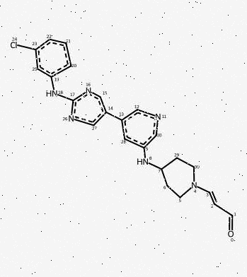 O=CC=CN1CCC(Nc2cncc(-c3cnc(Nc4cccc(Cl)c4)nc3)c2)CC1